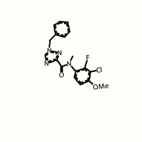 COc1ccc(N(C)C(=O)c2ncn(Cc3ccccc3)n2)c(F)c1Cl